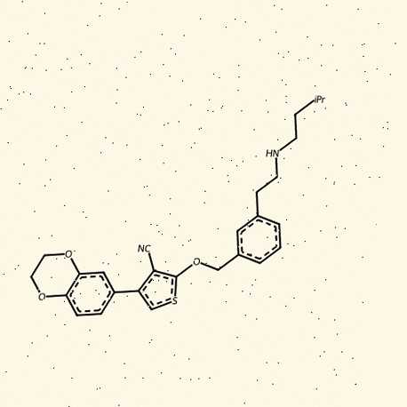 CC(C)CCNCCc1cccc(COc2scc(-c3ccc4c(c3)OCCO4)c2C#N)c1